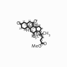 COC(=O)CCC(C)(C)C1CC[C@H]2C3C(=O)CC4CC(=O)CCC4(C)[C@H]3CC(=O)C12C